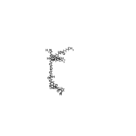 CCCCCC(=O)NCCCC[C@H](NC(=O)[C@H](CCCCN)NC(=O)CCOCCOCCOCCNC(=O)COc1ccc2c(C(=O)NCC(=O)N3CCC[C@H]3C#N)ccnc2c1)C(=O)OC(C)(C)C